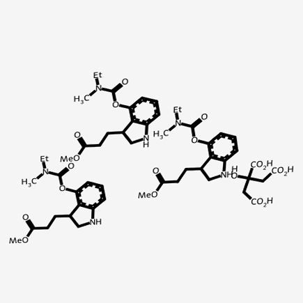 CCN(C)C(=O)Oc1cccc2c1C(CCC(=O)OC)CN2.CCN(C)C(=O)Oc1cccc2c1C(CCC(=O)OC)CN2.CCN(C)C(=O)Oc1cccc2c1C(CCC(=O)OC)CN2.O=C(O)CC(O)(CC(=O)O)C(=O)O